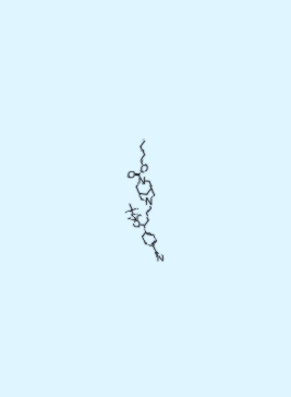 CCCCOC(=O)N1CC2CC(CN(CCCC(O[Si](C)(C)C(C)(C)C)c3ccc(C#N)cc3)C2)C1